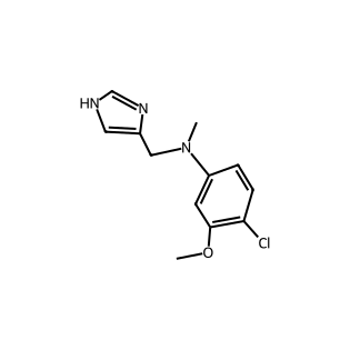 COc1cc(N(C)Cc2c[nH]cn2)ccc1Cl